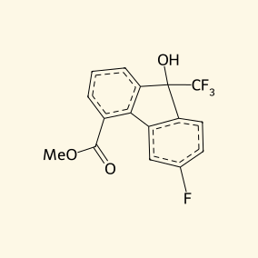 COC(=O)c1cccc2c1-c1cc(F)ccc1C2(O)C(F)(F)F